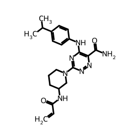 C=CC(=O)NC1CCCN(c2nnc(C(N)=O)c(Nc3ccc(C(C)C)cc3)n2)C1